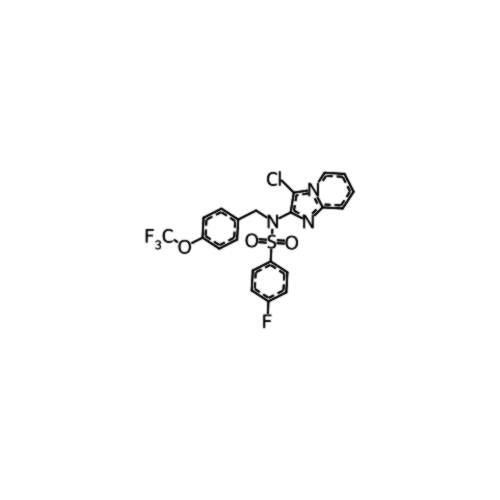 O=S(=O)(c1ccc(F)cc1)N(Cc1ccc(OC(F)(F)F)cc1)c1nc2ccccn2c1Cl